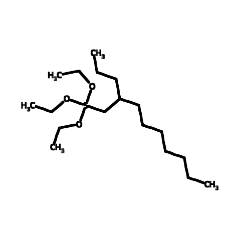 CCCCCCCC(CCC)CS(OCC)(OCC)OCC